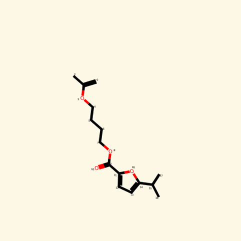 C=C(C)OCCCCOC(=O)c1ccc(C(C)C)o1